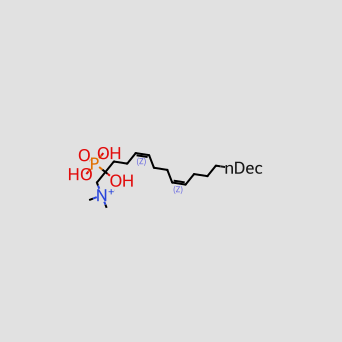 CCCCCCCCCCCCC/C=C\CC/C=C\CCC(O)(C[N+](C)(C)C)P(=O)(O)O